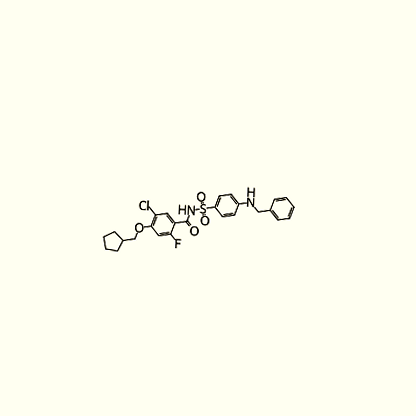 O=C(NS(=O)(=O)c1ccc(NCc2ccccc2)cc1)c1cc(Cl)c(OCC2CCCC2)cc1F